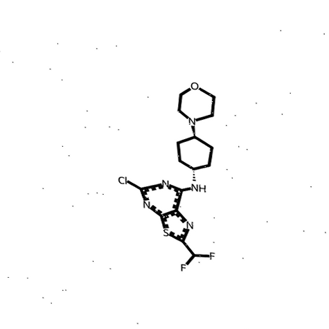 FC(F)c1nc2c(N[C@H]3CC[C@H](N4CCOCC4)CC3)nc(Cl)nc2s1